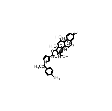 C[C@H](c1ccc(N)cc1)n1ccc([C@@H]2O[C@@H]3C[C@H]4[C@@H]5CCC6=CC(=O)C=C[C@]6(C)[C@H]5[C@@H](O)C[C@]4(C)[C@]3(C(=O)CO)O2)c1